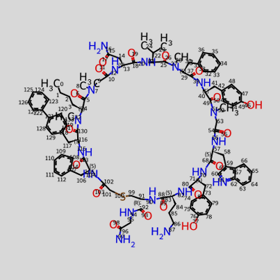 CCCC[C@H]1C(=O)N(C)CC(=O)N[C@@H](CC(N)=O)C(=O)N[C@@H](C(C)C)C(=O)N(C)[C@@H](Cc2ccccc2)C(=O)N[C@@H](Cc2ccc(O)cc2)C(=O)N(C)CC(=O)N[C@@H](Cc2c[nH]c3ccccc23)C(=O)N[C@@H](Cc2ccc(O)cc2)C(=O)N[C@@H](CCCN)C(=O)N[C@H](C(=O)NCC(N)=O)CSCC(=O)N[C@@H](Cc2ccccc2)C(=O)N[C@@H](Cc2ccc(-c3ccccc3)cc2)C(=O)N1C